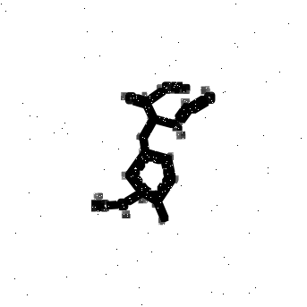 COC(=O)C(Cc1ccc(C)c(OC#N)c1)N=C=O